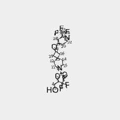 O=C(O[C@H](CO)C(F)(F)F)N1CCC2(CC1)CC(Oc1ccnc(C(F)(F)F)c1)C2